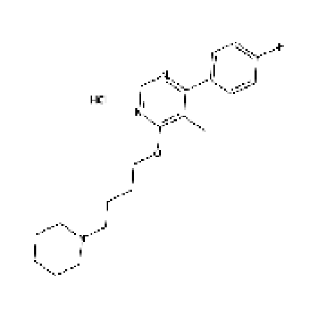 Cc1c(OCCCCN2CCCCC2)ncnc1-c1ccc(F)cc1.Cl